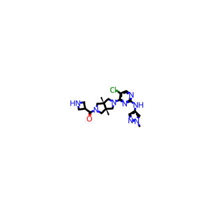 Cn1cc(Nc2ncc(Cl)c(N3C[C@]4(C)CN(C(=O)C5CNC5)C[C@]4(C)C3)n2)cn1